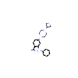 Cc1nn(-c2ccccc2)c2cc(N3CCN(C4CNC4)CC3)ccc12